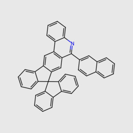 c1ccc2c(c1)-c1ccccc1C21c2ccccc2-c2cc3c(cc21)c(-c1ccc2ccccc2c1)nc1ccccc13